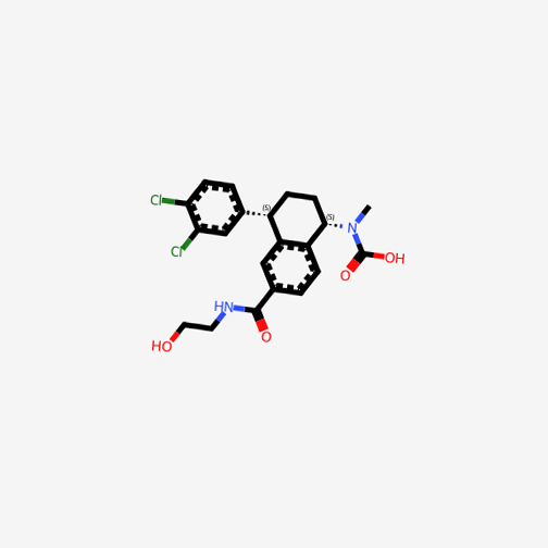 CN(C(=O)O)[C@H]1CC[C@@H](c2ccc(Cl)c(Cl)c2)c2cc(C(=O)NCCO)ccc21